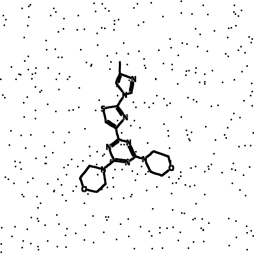 Cc1cn(-c2nc(-c3nc(N4CCOCC4)nc(N4CCOCC4)n3)cs2)cn1